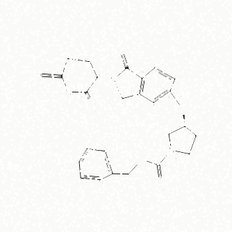 O=C1CC[C@H](N2Cc3cc(O[C@H]4CCN(C(=O)OCc5ccccc5)C4)ccc3C2=O)C(=O)N1